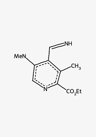 CCOC(=O)c1ncc(NC)c(C=N)c1C